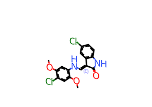 COc1cc(N/C=C2/C(=O)Nc3ccc(Cl)cc32)c(OC)cc1Cl